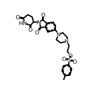 Cc1ccc(S(=O)(=O)OCCN2CCN(c3ccc4c(c3)C(=O)N(C3CCC(=O)NC3=O)C4=O)CC2)cc1